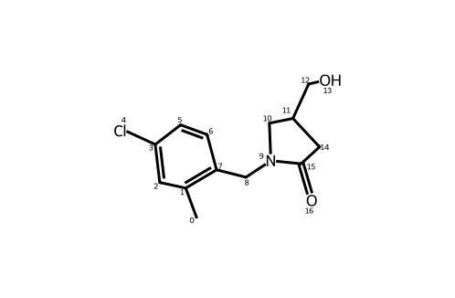 Cc1cc(Cl)ccc1CN1CC(CO)CC1=O